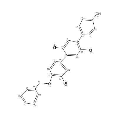 Oc1ccc(-c2cc(Cl)c(-c3ccc(OCc4ccccc4)c(O)c3)cc2Cl)cc1